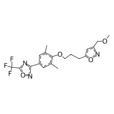 COCc1cc(CCCOc2c(C)cc(-c3noc(C(F)(F)F)n3)cc2C)on1